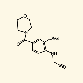 C#CCNc1ccc(C(=O)N2CCOCC2)cc1OC